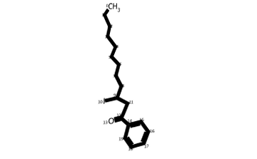 CCCCCCCCCC(I)CC(=O)c1ccccc1